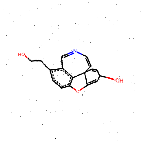 OCCc1ccc2c3c1C=NC=CC31C=CC(O)C=C1O2